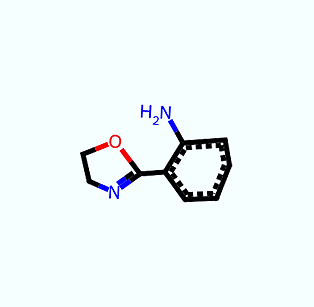 Nc1ccccc1C1=NCCO1